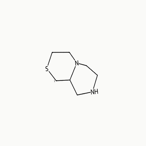 [C]1SCCN2CCNCC12